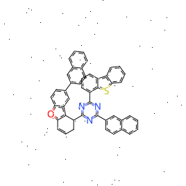 C1=Cc2oc3ccc(-c4ccc5ccccc5c4)cc3c2C(c2nc(-c3ccc4ccccc4c3)nc(-c3cccc4c3sc3ccccc34)n2)C1